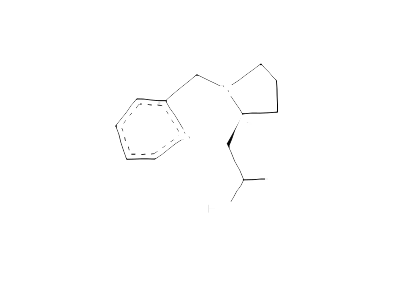 CC(C)C[C@@H]1CCCN1Cc1ccccn1